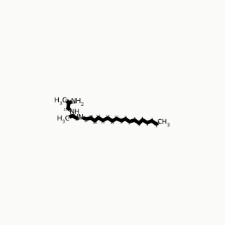 CCCCCCCCCCCCCCCCCCNCC(C)NCC(C)N